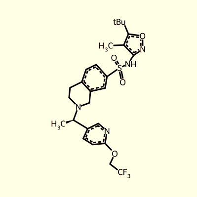 Cc1c(NS(=O)(=O)c2ccc3c(c2)CN([C@H](C)c2ccc(OCC(F)(F)F)nc2)CC3)noc1C(C)(C)C